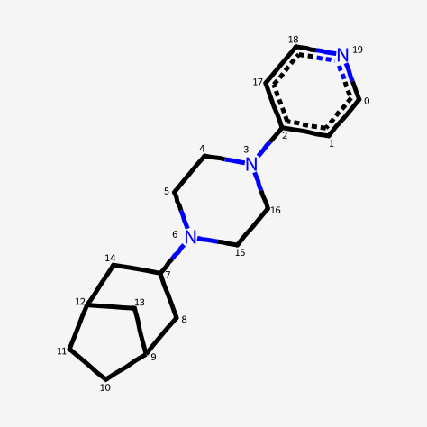 c1cc(N2CCN(C3CC4CCC(C4)C3)CC2)ccn1